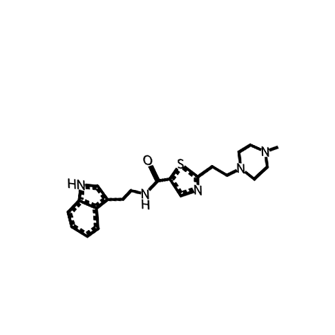 CN1CCN(CCc2ncc(C(=O)NCCc3c[nH]c4ccccc34)s2)CC1